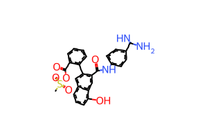 CS(=O)(=O)OC(=O)c1ccccc1-c1cc2cccc(O)c2cc1C(=O)Nc1ccc(C(=N)N)cc1